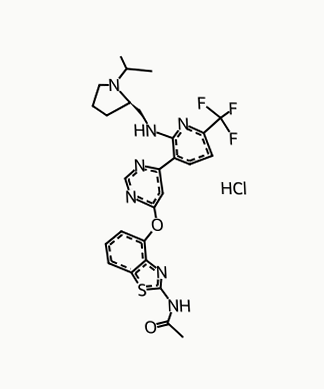 CC(=O)Nc1nc2c(Oc3cc(-c4ccc(C(F)(F)F)nc4NC[C@H]4CCCN4C(C)C)ncn3)cccc2s1.Cl